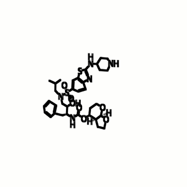 CC(C)CN(C[C@@H](O)[C@H](Cc1ccccc1)NC(=O)O[C@H]1CCO[C@H]2OCC[C@H]21)S(=O)(=O)c1ccc2nc(NC3CCNCC3)sc2c1